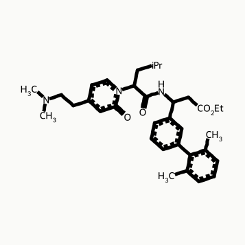 CCOC(=O)CC(NC(=O)C(CC(C)C)n1ccc(CCN(C)C)cc1=O)c1cccc(-c2c(C)cccc2C)c1